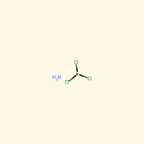 N.[Cl][Ir]([Cl])[Cl]